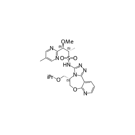 CO[C@H](c1ncc(C)cn1)[C@H](C)S(=O)(=O)Nc1nnc2n1[C@@H](COC(C)C)COc1ncccc1-2